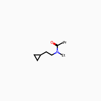 CCN(CCC1CC1)C(=O)C(C)C